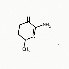 CC1CCNC(N)=N1